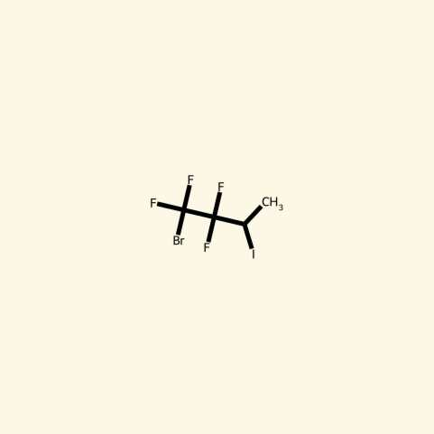 CC(I)C(F)(F)C(F)(F)Br